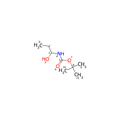 CCC(O)NC(=O)OC(C)(C)C